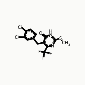 CSc1nc(C(F)(F)F)c(Cc2ccc(Cl)c(Cl)c2)c(=O)[nH]1